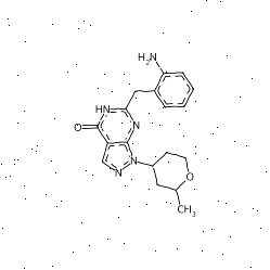 CC1CC(n2ncc3c(=O)[nH]c(Cc4ccccc4N)nc32)CCO1